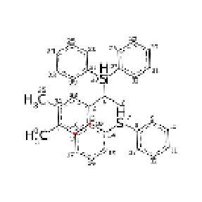 Cc1ccc(C(C[SiH](c2ccccc2)c2ccccc2)[SiH](c2ccccc2)c2ccccc2)cc1C